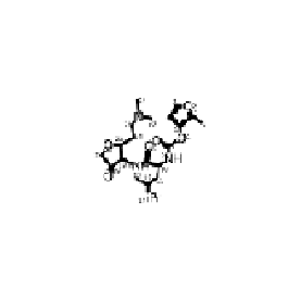 Cc1occc1OC(=O)N[C@@H](CC(C)C(C)C)C(=O)NC1C(=O)COC1CCN(C)C